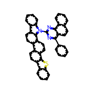 c1ccc(-c2nc(-n3c4ccccc4c4ccc5c6ccc7c8ccccc8sc7c6ccc5c43)nc3c2ccc2ccccc23)cc1